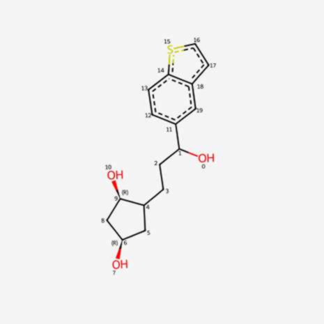 OC(CCC1C[C@@H](O)C[C@H]1O)c1ccc2sccc2c1